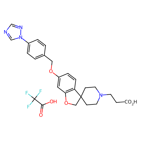 O=C(O)C(F)(F)F.O=C(O)CCN1CCC2(CC1)COc1cc(OCc3ccc(-n4cncn4)cc3)ccc12